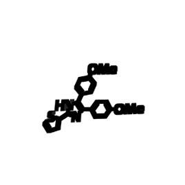 COc1ccc(-c2nc(-c3cccs3)[nH]c2-c2ccc(OC)cc2)cc1